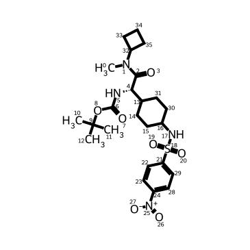 CN(C(=O)[C@@H](NC(=O)OC(C)(C)C)C1CCC(NS(=O)(=O)c2ccc([N+](=O)[O-])cc2)CC1)C1CCC1